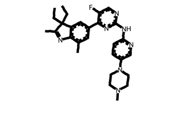 CCC1(CC)C(C)=Nc2c(C)cc(-c3nc(Nc4ccc(N5CCN(C)CC5)cn4)ncc3F)cc21